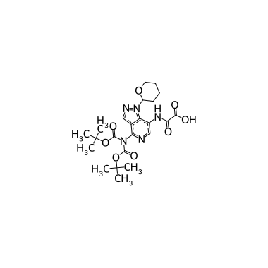 CC(C)(C)OC(=O)N(C(=O)OC(C)(C)C)c1ncc(NC(=O)C(=O)O)c2c1cnn2C1CCCCO1